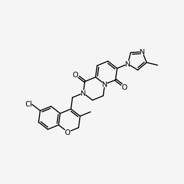 CC1=C(CN2CCn3c(ccc(-n4cnc(C)c4)c3=O)C2=O)c2cc(Cl)ccc2OC1